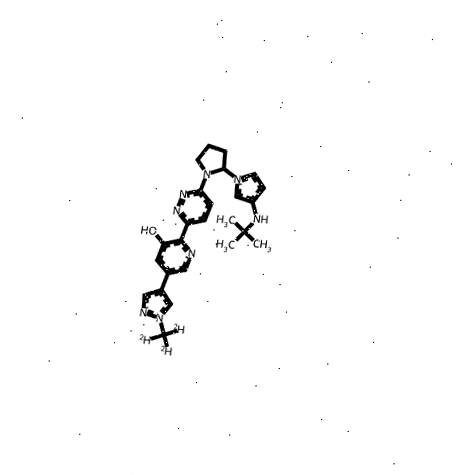 [2H]C([2H])([2H])n1cc(-c2cnc(-c3ccc(N4CCCC4n4ccc(NC(C)(C)C)c4)nn3)c(O)c2)cn1